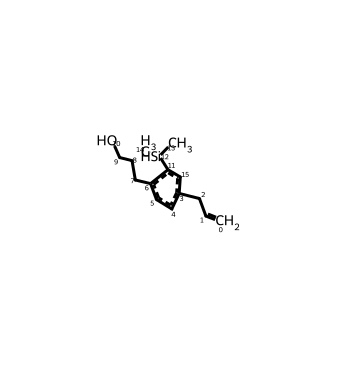 C=CCc1ccc(CCCO)c([SiH](C)C)c1